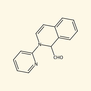 O=CC1c2ccccc2C=CN1c1ccccn1